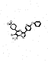 Nc1c(Br)c(C2CCS(=O)(=O)CC2)nc2c(-c3ccc(Oc4ccccc4)nc3)cnn12